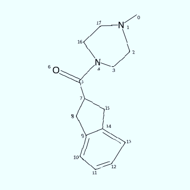 CN1CCN(C(=O)C2Cc3ccccc3C2)CC1